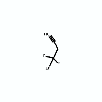 C#CCC(F)(F)CC